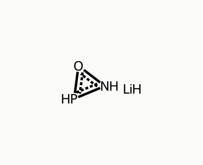 [LiH].[nH]1o[pH]1